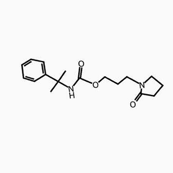 CC(C)(NC(=O)OCCCN1CCCC1=O)c1ccccc1